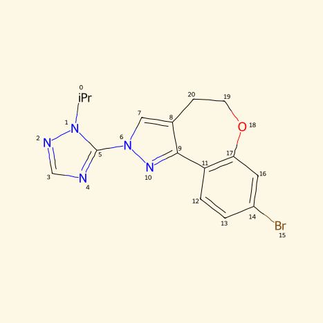 CC(C)n1ncnc1-n1cc2c(n1)-c1ccc(Br)cc1OCC2